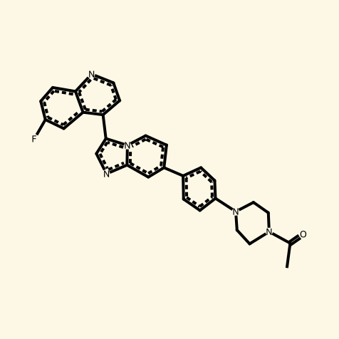 CC(=O)N1CCN(c2ccc(-c3ccn4c(-c5ccnc6ccc(F)cc56)cnc4c3)cc2)CC1